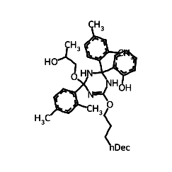 CCCCCCCCCCCCCOC1=NC(OCC(C)O)(c2ccc(C)cc2C)NC(c2ccc(C)cc2C)(c2ccccc2O)N1